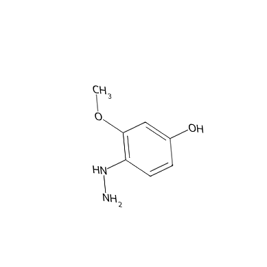 COc1cc(O)ccc1NN